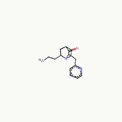 CCCC1CC2CCN1C(Cc1ccccn1)C2=O